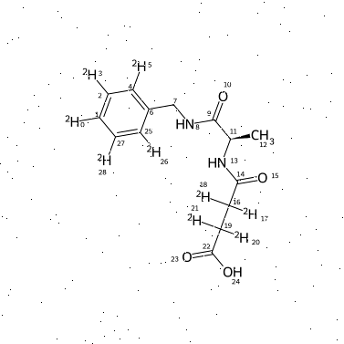 [2H]c1c([2H])c([2H])c(CNC(=O)[C@@H](C)NC(=O)C([2H])([2H])C([2H])([2H])C(=O)O)c([2H])c1[2H]